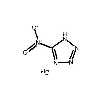 O=[N+]([O-])c1nnn[nH]1.[Hg]